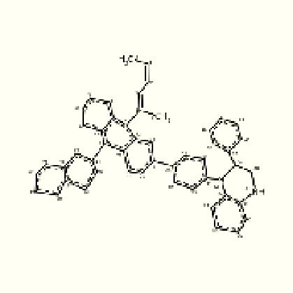 C/C=C\C=C(/C)c1c2ccccc2c(-c2ccc3ccccc3c2)c2ccc(-c3ccc(N4c5ccccc5NCC4c4ccccc4)cc3)cc12